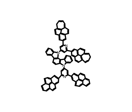 C1=CCc2ccc3cc(-c4cc(-n5c6ccccc6c6ccc7c(c8ccccc8n7-c7cc(-c8cc9ccc%10cccc%11ccc(c8)c9c%10%11)nc(-c8cc9ccc%10cccc%11ccc(c8)c9c%10%11)c7)c65)cc(-c5cc6ccc7c8c(ccc(c5)c68)=CCC=C7)n4)cc4ccc(c2c34)=C1